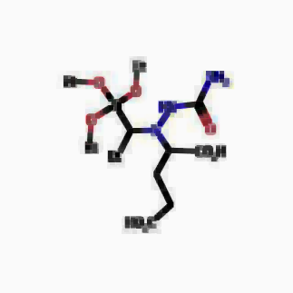 CCO[Si](OCC)(OCC)C(CC)N(NC(N)=O)C(CCC(=O)O)C(=O)O